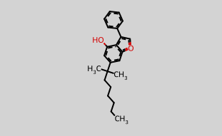 CCCCCCC(C)(C)c1cc(O)c2c(-c3ccccc3)coc2c1